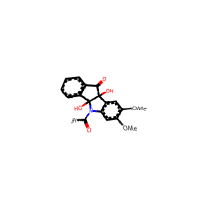 COc1cc2c(cc1OC)C1(O)C(=O)c3ccccc3C1(O)N2C(=O)C(C)C